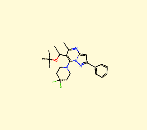 Cc1nc2cc(-c3ccccc3)nn2c(N2CCC(F)(F)CC2)c1C(C)OC(C)(C)C